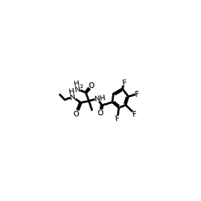 CCNC(=O)C(C)(NC(=O)c1cc(F)c(F)c(F)c1F)C(N)=O